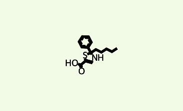 CCCCCC1(c2ccccc2)NC=C(C(=O)O)S1